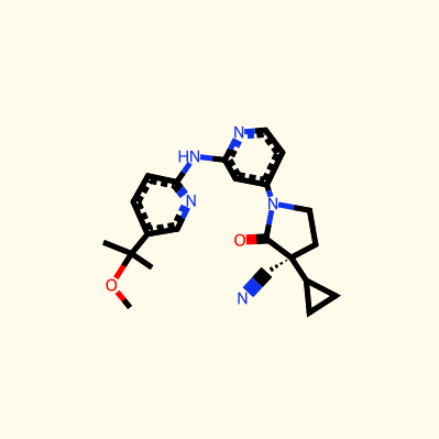 COC(C)(C)c1ccc(Nc2cc(N3CC[C@@](C#N)(C4CC4)C3=O)ccn2)nc1